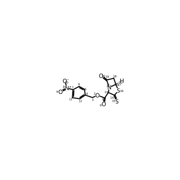 O=C(OCc1ccc([N+](=O)[O-])cc1)C1C(=S)S[C@@H]2CC(=O)N12